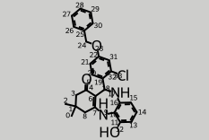 CC1(C)CC(=O)C2=C(C1)Nc1c(O)cccc1NC2c1ccc(OCc2ccccc2)cc1Cl